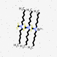 CCCCCCCCN(CCCCCCCC)C(=S)[S-].CCCCCCCCN(CCCCCCCC)C(=S)[S-].CCCCCCCCN(CCCCCCCC)C(=S)[S-].[Bi+3]